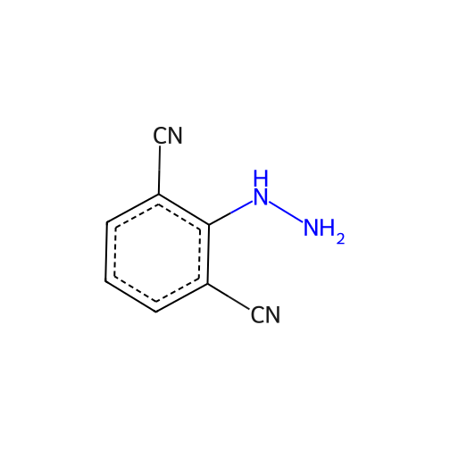 N#Cc1cccc(C#N)c1NN